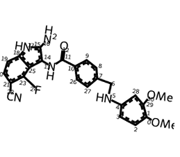 COc1ccc(NCc2ccc(C(=O)Nc3c(N)[nH]c4ccc(C#N)c(F)c34)cc2)cc1OC